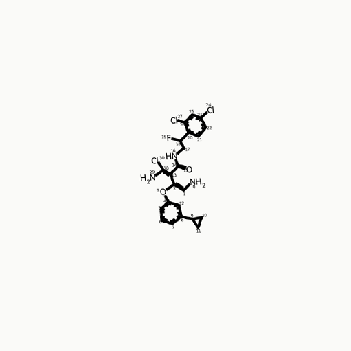 N/C=C(Oc1cccc(C2CC2)c1)\C(C(=O)NCC(F)c1ccc(Cl)cc1Cl)=C(/N)Cl